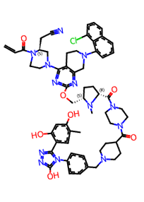 C=CC(=O)N1CCN(c2nc(OC[C@@H]3CC[C@H](C(=O)N4CCN(C(=O)C5CCN(Cc6ccc(-n7c(O)nnc7-c7cc(C)c(O)cc7O)cc6)CC5)CC4)N3C)nc3c2CCN(c2cccc4cccc(Cl)c24)C3)C[C@@H]1CC#N